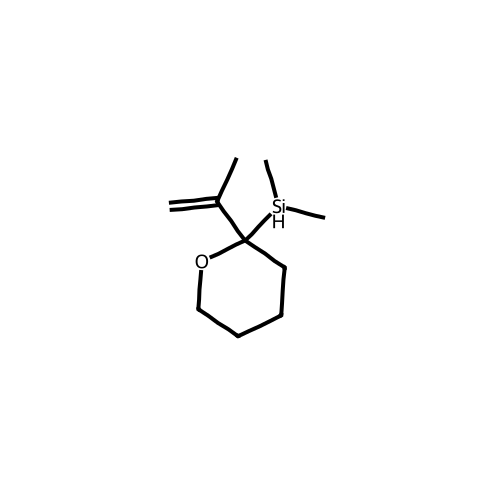 C=C(C)C1([SiH](C)C)CCCCO1